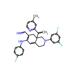 C=C(c1cc(C)ccn1)C12CC(C=N)=C(Nc3ccc(F)cc3)C=C1CCN(c1cc(F)cc(F)c1)C2